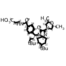 C[C@@H]1CN(C2=NC3(CCC(C(C)(C)C)CC3)N([C@H](CCC(C)(C)C)c3ccc(C(=O)NCCC(=O)O)cc3)C2=O)C[C@H](C)O1